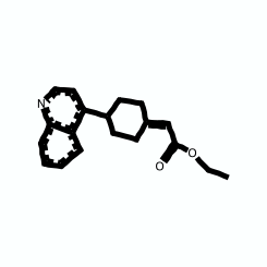 CCOC(=O)C=C1CCC(c2ccnc3ccccc23)CC1